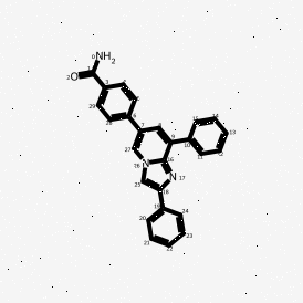 NC(=O)c1ccc(-c2cc(-c3ccccc3)c3nc(-c4ccccc4)cn3c2)cc1